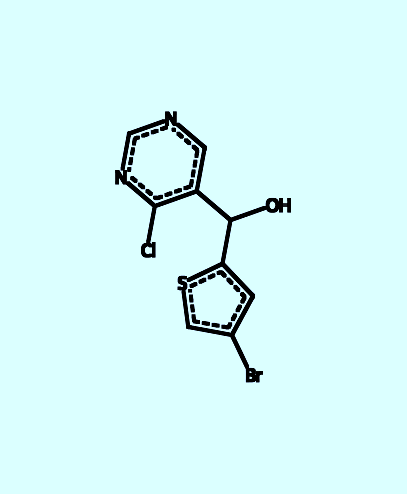 OC(c1cc(Br)cs1)c1cncnc1Cl